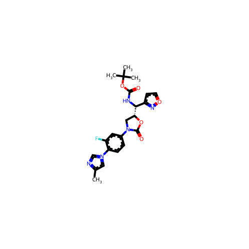 Cc1cn(-c2ccc(N3C[C@H](C(NC(=O)OC(C)(C)C)c4ccon4)OC3=O)cc2F)cn1